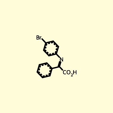 O=C(O)C(=Nc1ccc(Br)cc1)c1ccccc1